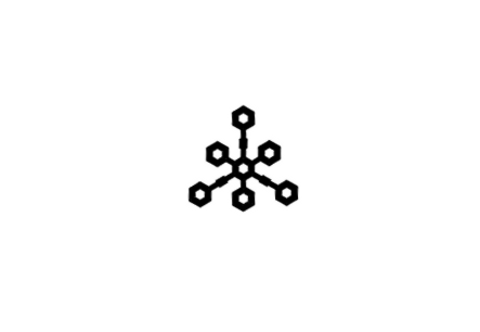 C(#Cc1c(-c2ccccc2)c(C#Cc2ccccc2)c(-c2ccccc2)c(C#Cc2ccccc2)c1-c1ccccc1)c1ccccc1